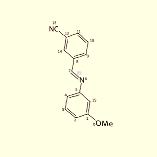 COc1cccc(/N=C/c2cccc(C#N)c2)c1